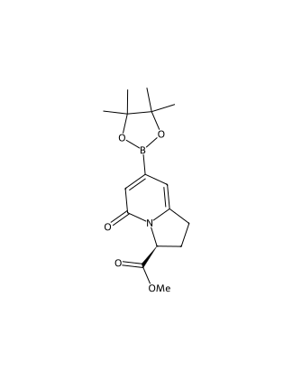 COC(=O)[C@@H]1CCc2cc(B3OC(C)(C)C(C)(C)O3)cc(=O)n21